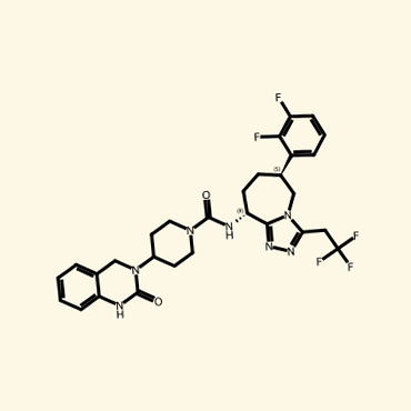 O=C(N[C@@H]1CC[C@@H](c2cccc(F)c2F)Cn2c(CC(F)(F)F)nnc21)N1CCC(N2Cc3ccccc3NC2=O)CC1